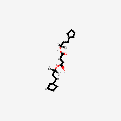 CCC(CC)(CCC1CCCC1)OC(=O)CCC(=O)OC(CC)(CC)CCC1CCCC1